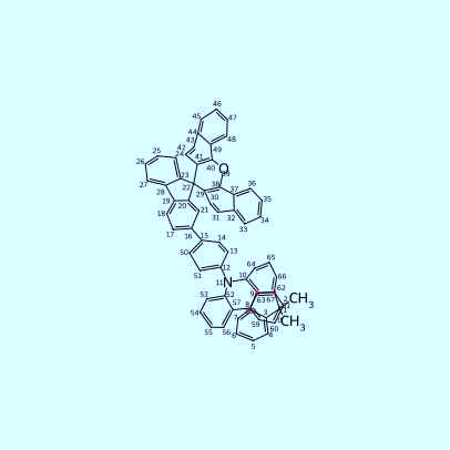 CC1(C)c2ccccc2-c2c(N(c3ccc(-c4ccc5c(c4)C4(c6ccccc6-5)c5ccc6ccccc6c5Oc5c4ccc4ccccc54)cc3)c3ccccc3-c3ccccc3)cccc21